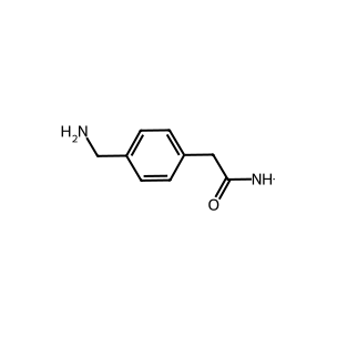 [NH]C(=O)Cc1ccc(CN)cc1